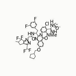 CNc1c(-n2c(C(Cc3cc(F)cc(F)c3)NC(=O)Cn3nc(C(F)F)c4c3C(F)(F)C(C)C4)nc3cc(OCC4CCCC4)ccc3c2=O)ccc(Cl)c1C(=N)N[S+](C)[O-]